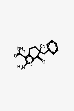 N#CC1(Cc2ccccc2)CCc2c(sc(N)c2C(N)=O)C1=O